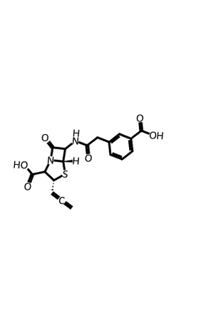 C=C=C[C@H]1S[C@H]2C(NC(=O)Cc3cccc(C(=O)O)c3)C(=O)N2C1C(=O)O